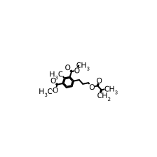 C=C(C)C(=O)OCCCc1ccc(C(=O)OC)c(C)c1C(=O)OC